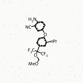 CCCc1cc(C(OCOC)(C(F)(F)F)C(F)(F)F)ccc1Oc1ccc(N)c(C#N)c1